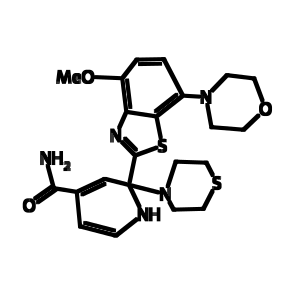 COc1ccc(N2CCOCC2)c2sc(C3(N4CCSCC4)C=C(C(N)=O)C=CN3)nc12